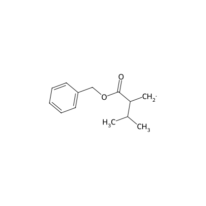 [CH2]C(C(=O)OCc1ccccc1)C(C)C